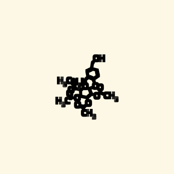 COC(=O)[C@H]1O[C@@H](Oc2ccc(CO)cc2N)[C@@H](OC(C)=O)[C@@H](OC(C)=O)[C@@H]1OC(C)=O